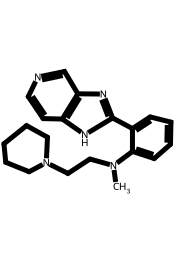 CN(CCN1CCCCC1)c1ccccc1-c1nc2cnccc2[nH]1